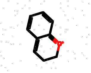 C1=c2ccccc2=[O+]CC1